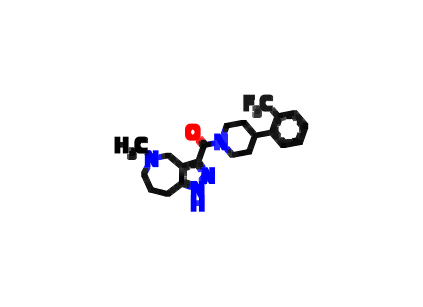 CN1CCCc2[nH]nc(C(=O)N3CCC(c4ccccc4C(F)(F)F)CC3)c2C1